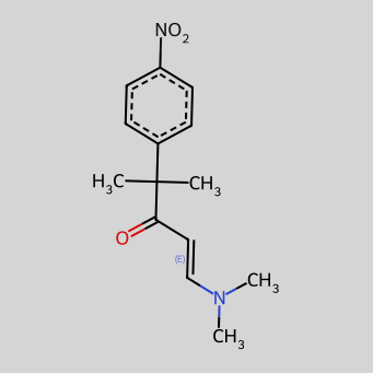 CN(C)/C=C/C(=O)C(C)(C)c1ccc([N+](=O)[O-])cc1